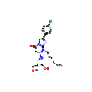 CCCCCn1c(NCC2(CO)COC2)cc(=O)n2cc(-c3ccc(Cl)cc3)nc12